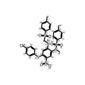 Cc1ccc(S(=O)(=O)CNc2cc(Sc3ccc(Cl)cc3)c([N+](=O)[O-])cc2N(C)S(=O)(=O)c2ccc(C)cc2)cc1